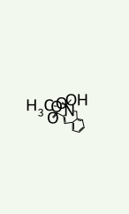 COC(=O)C1=Cc2ccccc2CN1C(=O)O